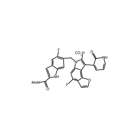 CNC(=O)c1cc2cc(F)c(Cn3c(C(=O)O)c(-c4ccc[nH]c4=O)c4c5occc5c(F)cc43)cc2[nH]1